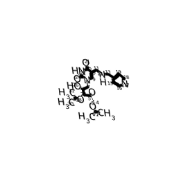 CC(C)OC[C@H]1O[C@@H](n2cc(CNCc3ccncc3)c(=O)[nH]c2=O)[C@@H](O)C1OC(C)C